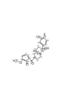 COc1cccc(C(=O)N2CCN3C[C@@](O)(c4ccc(F)c(Cl)c4)CC[C@@H]3C2)c1Cl